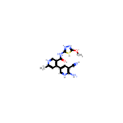 COc1nnc(NC(=O)c2cnc(C)cc2-c2cnc(N)c(C#N)c2)s1